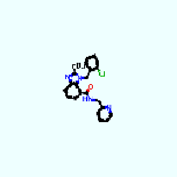 CCCCc1nc2cccc(C(=O)NCc3ccccn3)c2n1Cc1ccccc1Cl